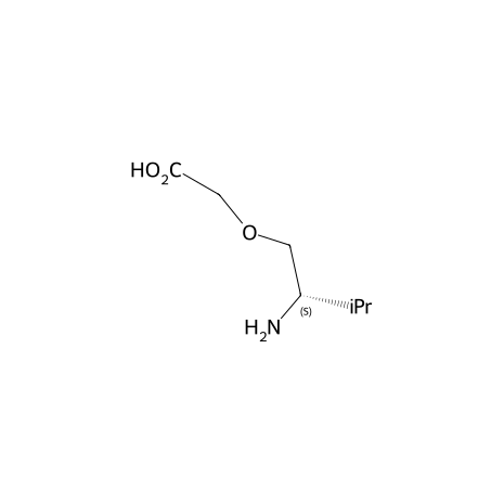 CC(C)[C@H](N)COCC(=O)O